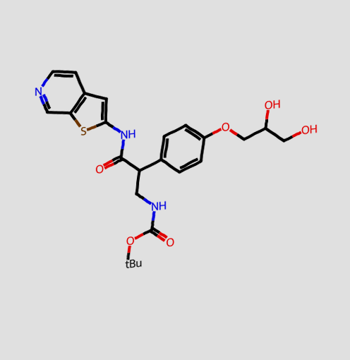 CC(C)(C)OC(=O)NCC(C(=O)Nc1cc2ccncc2s1)c1ccc(OCC(O)CO)cc1